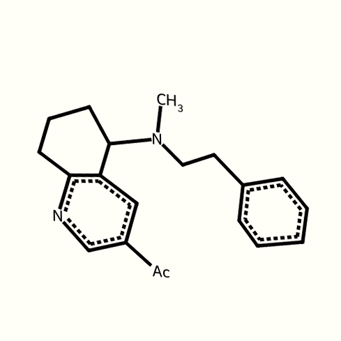 CC(=O)c1cnc2c(c1)C(N(C)CCc1ccccc1)CCC2